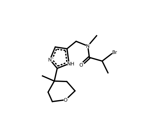 CC(Br)C(=O)N(C)Cc1cnc(C2(C)CCOCC2)[nH]1